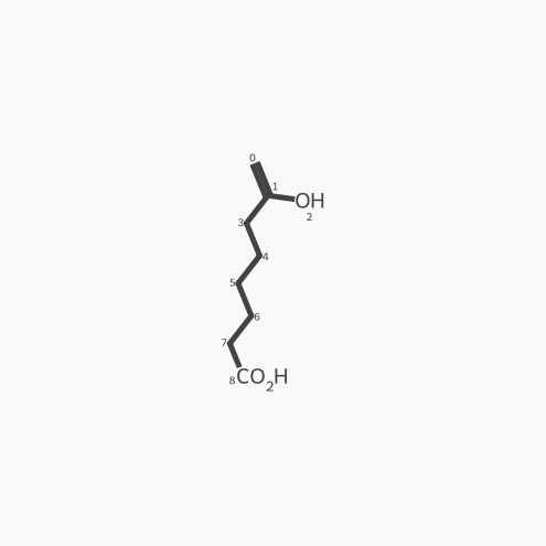 C=C(O)CCCCCC(=O)O